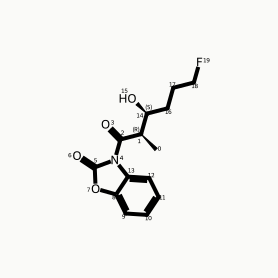 C[C@@H](C(=O)n1c(=O)oc2ccccc21)[C@@H](O)CCCF